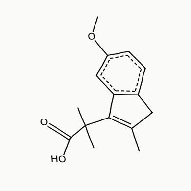 COc1ccc2c(c1)C(C(C)(C)C(=O)O)=C(C)C2